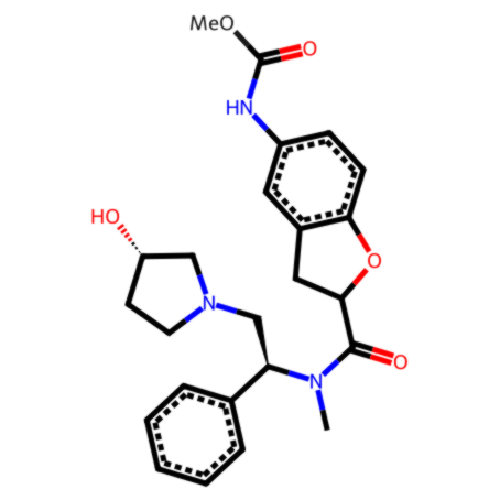 COC(=O)Nc1ccc2c(c1)CC(C(=O)N(C)[C@H](CN1CC[C@H](O)C1)c1ccccc1)O2